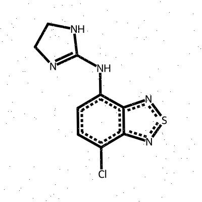 Clc1ccc(NC2=NCCN2)c2nsnc12